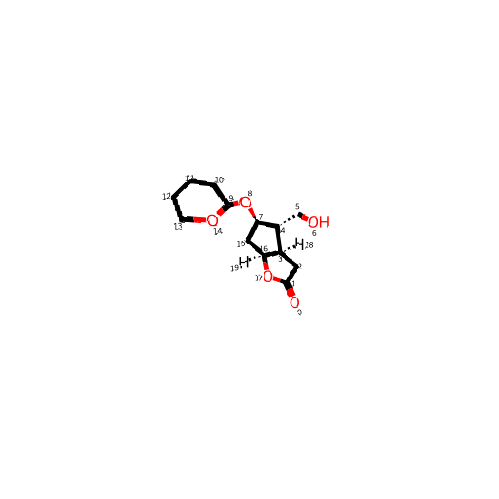 O=C1C[C@@H]2[C@@H](CO)[C@H](OC3CCCCO3)C[C@@H]2O1